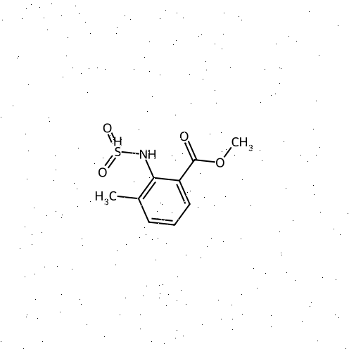 COC(=O)c1cccc(C)c1N[SH](=O)=O